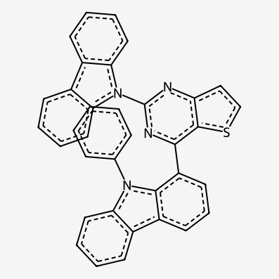 c1ccc(-n2c3ccccc3c3cccc(-c4nc(-n5c6ccccc6c6ccccc65)nc5ccsc45)c32)cc1